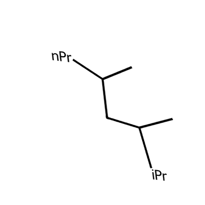 [CH2]C(C)C(C)CC(C)CCC